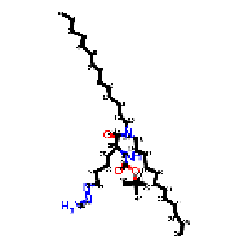 CCCCCCCCCCCCCCN(CCCCCCCCCCCC)C(=O)C(CCCCN=NN)NC(=O)OC(C)(C)C